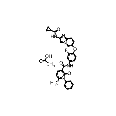 CC(=O)O.Cc1ccc(C(=O)Nc2ccc(Oc3ccc4nc(NC(=O)C5CC5)cn4c3)c(F)c2)c(=O)n1-c1ccccc1